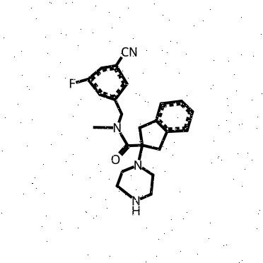 CN(Cc1cc(F)cc(C#N)c1)C(=O)C1(N2CCNCC2)Cc2ccccc2C1